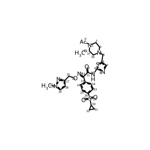 CC(=O)N1CCN(Cc2cnc(NC(=O)/C(=N/OCc3ccn(C)n3)c3ccc(S(=O)(=O)C4CC4)cc3)s2)C[C@@H]1C